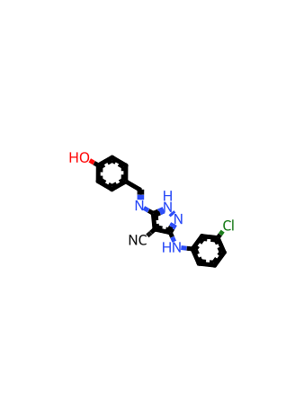 N#Cc1c(Nc2cccc(Cl)c2)n[nH]c1N=Cc1ccc(O)cc1